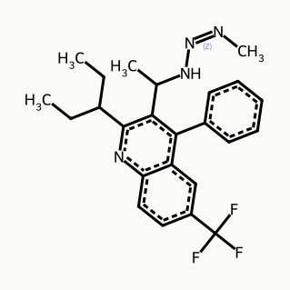 CCC(CC)c1nc2ccc(C(F)(F)F)cc2c(-c2ccccc2)c1C(C)N/N=N\C